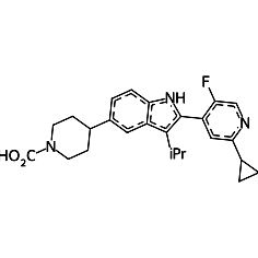 CC(C)c1c(-c2cc(C3CC3)ncc2F)[nH]c2ccc(C3CCN(C(=O)O)CC3)cc12